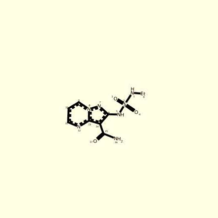 CCNS(=O)(=O)Nc1nn2cccnc2c1C(N)=O